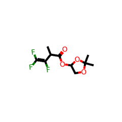 CC(C(=O)OC1COC(C)(C)O1)C(F)=C(F)F